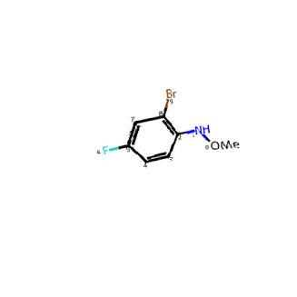 CONc1ccc(F)cc1Br